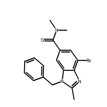 Cc1nc2c(Br)cc(C(=O)N(C)C)cc2n1Cc1ccccc1